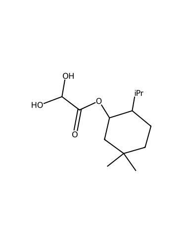 CC(C)C1CCC(C)(C)CC1OC(=O)C(O)O